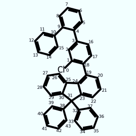 Clc1cc(-c2ccccc2-c2ccccc2)ccc1-c1cccc2c1-c1ccccc1C2(c1ccccc1)c1ccccc1